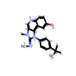 Cn1c(=NC#N)n(-c2ccc(C(C)(C)C#N)cc2)c2c3cc(Br)ccc3ncc21